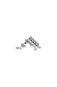 C#N.C#N.C#N.C#N.C#N.C#N.[CsH].[Fe].[KH]